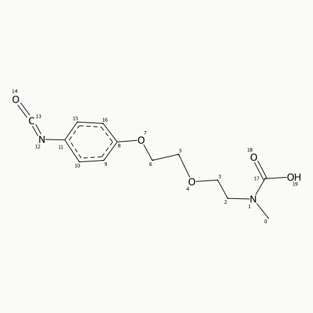 CN(CCOCCOc1ccc(N=C=O)cc1)C(=O)O